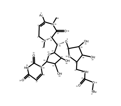 CC(=O)C1=CCN(C)[C@@H]([C@H](OC2OC(CNC(=O)OC(C)(C)C)C(O)C2O)C2OC(n3ccc(=O)[nH]c3=O)C(O)C2O)C(=O)N1C